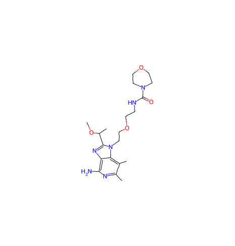 COC(C)c1nc2c(N)nc(C)c(C)c2n1CCOCCNC(=O)N1CCOCC1